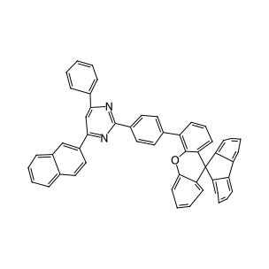 c1ccc(-c2cc(-c3ccc4ccccc4c3)nc(-c3ccc(-c4cccc5c4Oc4ccccc4C54c5ccccc5-c5ccccc54)cc3)n2)cc1